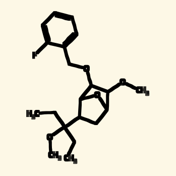 CCC(CC)(OC)C1CC2OC1C(OCc1ccccc1F)C2OC